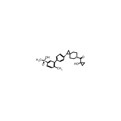 Cc1ccc(P(C)(=O)O)cc1-c1ccc([C@H]2CC23CCN(C(=O)C2(O)CC2)CC3)cc1